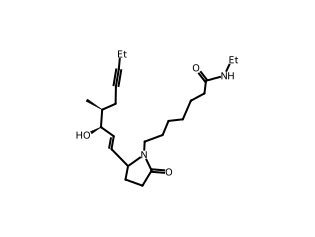 CCC#CC[C@H](C)[C@H](O)C=CC1CCC(=O)N1CCCCCCC(=O)NCC